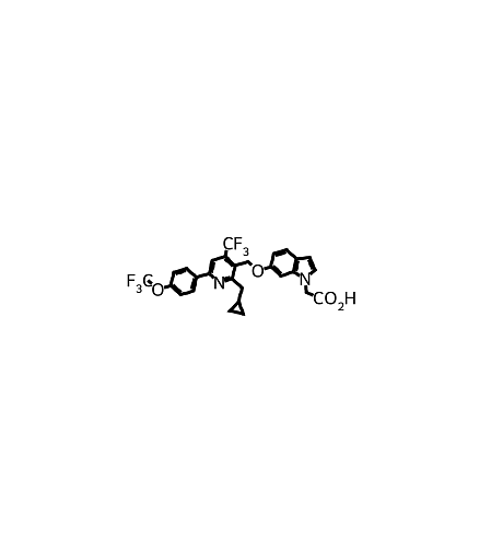 O=C(O)Cn1ccc2ccc(OCc3c(C(F)(F)F)cc(-c4ccc(OC(F)(F)F)cc4)nc3CC3CC3)cc21